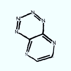 [c]1cnc2nnnnc2n1